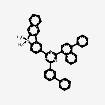 C[Si]1(C)c2ccc(-c3nc(-c4cccc(-c5ccccc5)c4)nc(-c4ccc(-c5ccccc5)c5ccccc45)n3)cc2-c2cc3ccccc3cc21